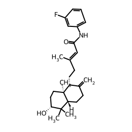 C=C1CC[C@@H]2C(C)(C)[C@H](O)CC[C@@]2(C)[C@@H]1CC/C(C)=C/C(=O)Nc1cccc(F)c1